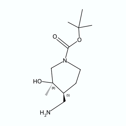 CC(C)(C)OC(=O)N1CC[C@@H](CN)[C@@](C)(O)C1